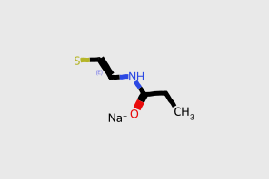 CCC(=O)N/C=C/[S-].[Na+]